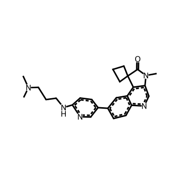 CN(C)CCCNc1ccc(-c2ccc3ncc4c(c3c2)C2(CCC2)C(=O)N4C)cn1